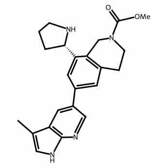 COC(=O)N1CCc2cc(-c3cnc4[nH]cc(C)c4c3)cc([C@@H]3CCCN3)c2C1